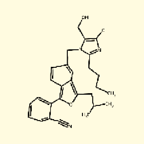 CCCCc1nc(Cl)c(CO)n1Cc1ccc2c(-c3ccccc3C#N)oc(CC(C)C)c2c1